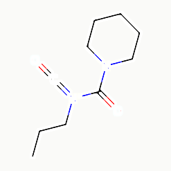 CCC[N+](=C=O)C(=O)N1CCCCC1